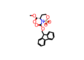 COC(=O)[C@@H]1CCOS(=O)(=O)N1C(=O)OCC1c2ccccc2-c2ccccc21